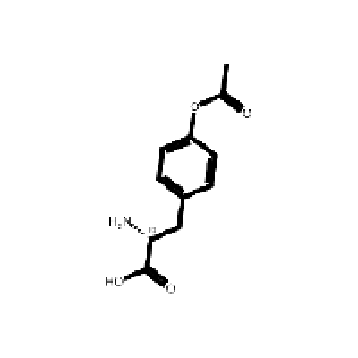 CC(=O)Oc1ccc(C[C@@H](N)C(=O)O)cc1